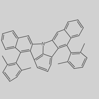 Cc1cccc(C)c1-c1c2ccccc2cc2c1c1cccc3c4c(-c5c(C)cccc5C)c5ccccc5cc4n2c13